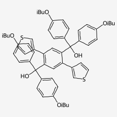 CC(C)COc1ccc(C(O)(c2ccc(OCC(C)C)cc2)c2cc(-c3ccsc3)c(C(O)(c3ccc(OCC(C)C)cc3)c3ccc(OCC(C)C)cc3)cc2-c2ccsc2)cc1